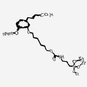 CCCCCOc1ccc(CC=CC(=O)O)cc1OCCCCCCOC(=O)NCCC[Si](OCC)(OCC)OCC